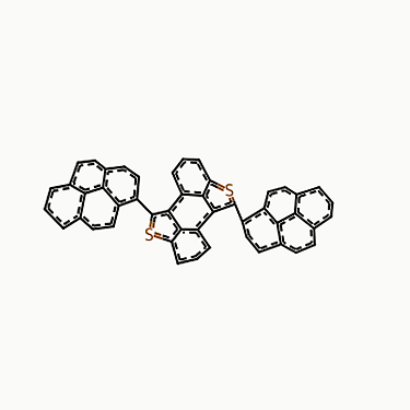 c1cc2ccc3ccc(-c4sc5cccc6c7c(-c8ccc9ccc%10cccc%11ccc8c9c%10%11)sc8cccc(c4c56)c87)c4ccc(c1)c2c34